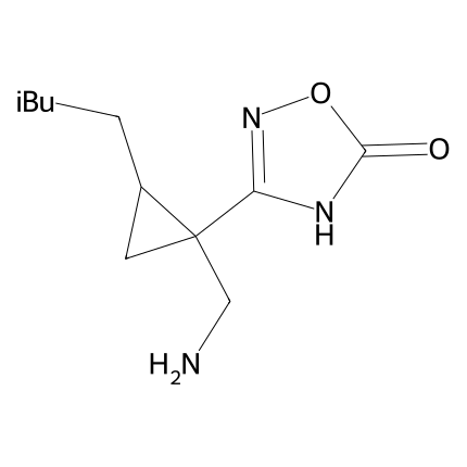 CCC(C)CC1CC1(CN)c1noc(=O)[nH]1